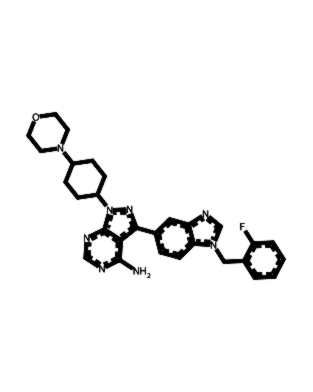 Nc1ncnc2c1c(-c1ccc3c(c1)ncn3Cc1ccccc1F)nn2C1CCC(N2CCOCC2)CC1